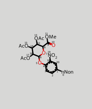 CCCCCCCCCc1ccc(OC2OC(C(=O)OC)C(OC(C)=O)C(OC(C)=O)C2OC(C)=O)c([N+](=O)[O-])c1